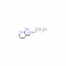 CCOC(=O)CN/C=C1/C=CC=N/C1=N/C